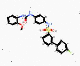 COc1ccccc1NC(=O)Nc1ccc(NS(=O)(=O)c2cccc(-c3ccc(F)cc3)c2)cc1